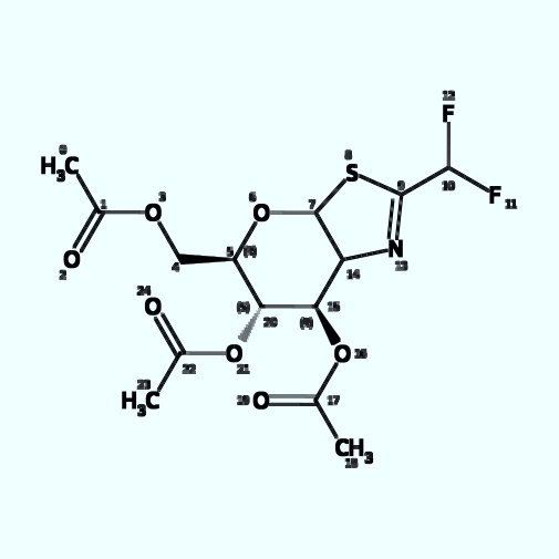 CC(=O)OC[C@H]1OC2SC(C(F)F)=NC2[C@@H](OC(C)=O)[C@@H]1OC(C)=O